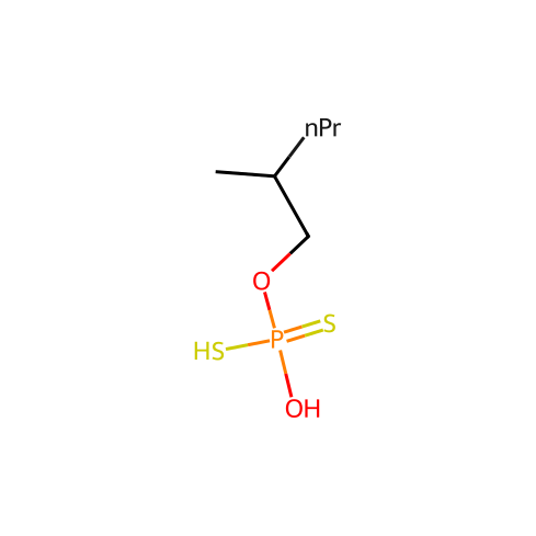 CCCC(C)COP(O)(=S)S